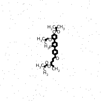 C=C/C(=C\C=C\C(=O)c1ccc(-c2ccc(-c3ccc(OC(=O)C(=C)C)cc3OCC(=C)C)cc2F)cc1)OC(=O)C(=C)C